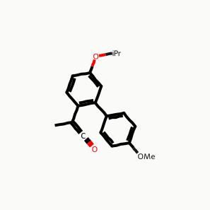 COc1ccc(-c2cc(OC(C)C)ccc2C(C)=C=O)cc1